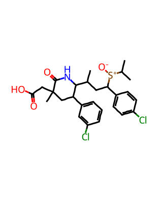 CC(CC(c1ccc(Cl)cc1)[S+]([O-])C(C)C)C1NC(=O)C(C)(CC(=O)O)CC1c1cccc(Cl)c1